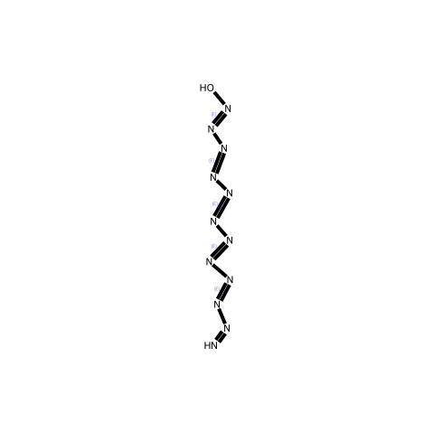 N=N/N=N/N=N/N=N/N=N/N=N/O